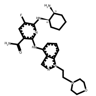 NC(=O)c1cc(F)c(N[C@@H]2CCCC[C@@H]2N)nc1Nc1cccc2c1cnn2CCN1CCOCC1